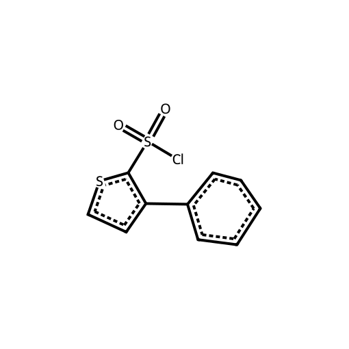 O=S(=O)(Cl)c1sccc1-c1ccccc1